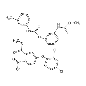 COC(=O)Nc1cccc(OC(=O)Nc2cccc(C)c2)c1.COC(=O)c1cc(Oc2ccc(Cl)cc2Cl)ccc1[N+](=O)[O-]